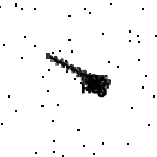 CCCCCCCCCCCCCCCC(OC(=O)c1ccccc1C(=O)O)C(C)C